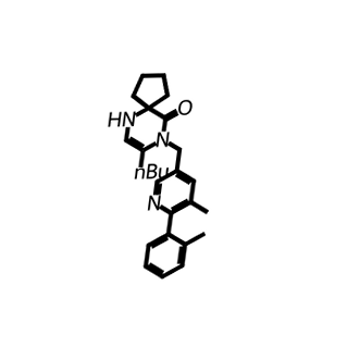 CCCCC1=CNC2(CCCC2)C(=O)N1Cc1cnc(-c2ccccc2C)c(C)c1